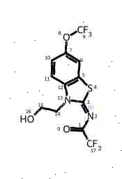 O=C(/N=c1/sc2cc(OC(F)(F)F)ccc2n1CCO)C(F)(F)F